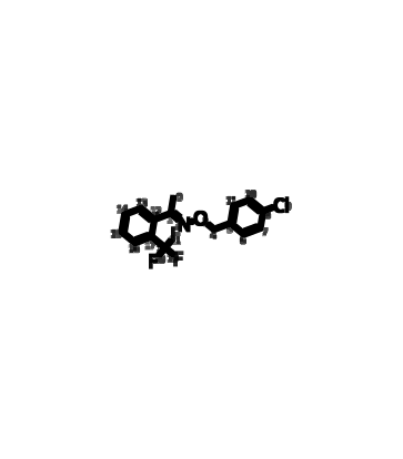 C/C(=N\OCc1ccc(Cl)cc1)c1ccccc1C(F)(F)F